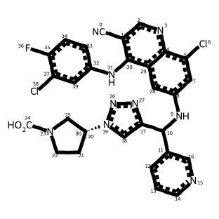 N#Cc1cnc2c(Cl)cc(NC(c3cccnc3)c3cn([C@@H]4CCN(C(=O)O)C4)nn3)cc2c1Nc1ccc(F)c(Cl)c1